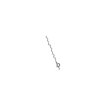 CC[CH]O/C=C/CCCCCCCCCCCCCCCC